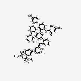 C=N/C(=C\C(C)=C(/C)c1ccccc1-c1cc(-c2ccccc2CCC(=O)/C=C(\O)C(C)(C)C)cc(-c2ccccc2-c2ccc(-c3cc(C(C)(C)C)ccn3)cc2)c1)c1ccc2c(c1)C(C)(C)CC2(C)C